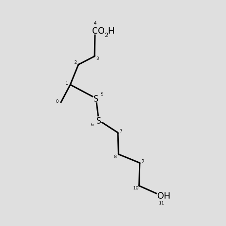 CC(CCC(=O)O)SSCCCCO